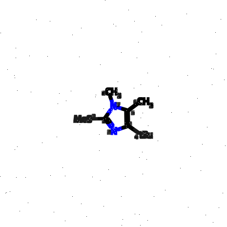 CSc1nc(C(C)(C)C)c(C)n1C